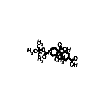 CC(C)(C)OC(=O)N1CCC(C(=O)O)(N2CCC(C(=O)O)CC2)C(C)(C)C1